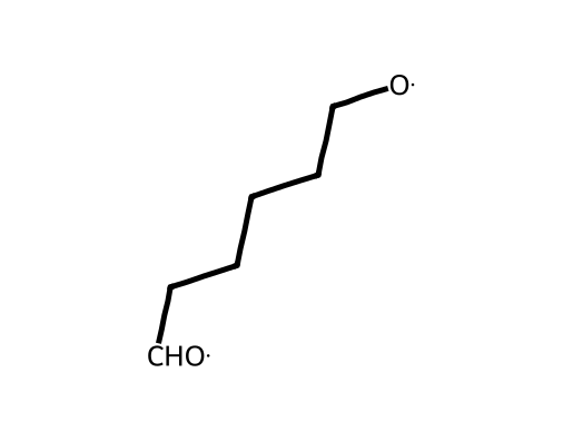 [O]CCCCC[C]=O